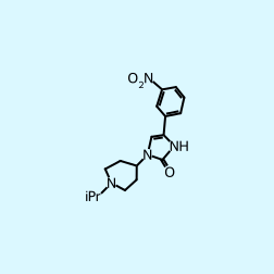 CC(C)N1CCC(n2cc(-c3cccc([N+](=O)[O-])c3)[nH]c2=O)CC1